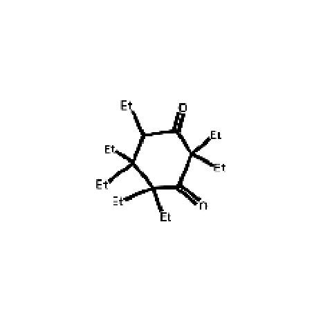 CCC1C(=O)C(CC)(CC)C(=O)C(CC)(CC)C1(CC)CC